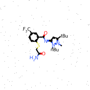 CCCCn1/c(=N/C(=O)c2cc(C(F)(F)F)ccc2SCC(N)=O)cc(C(C)(C)C)n1C